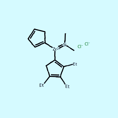 CCC1=C(CC)C(CC)=[C]([Zr+2]([C]2=CC=CC2)=[Si](C)C)C1.[Cl-].[Cl-]